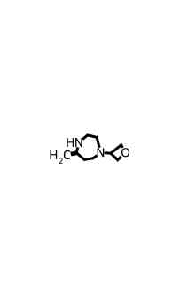 C=C1CCN(C2COC2)CCN1